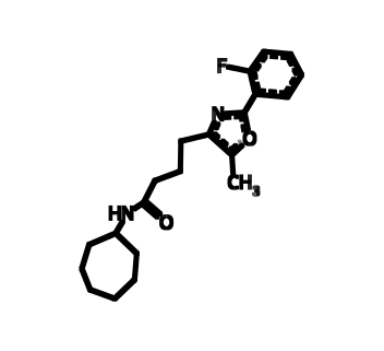 Cc1oc(-c2ccccc2F)nc1CCCC(=O)NC1CCCCCC1